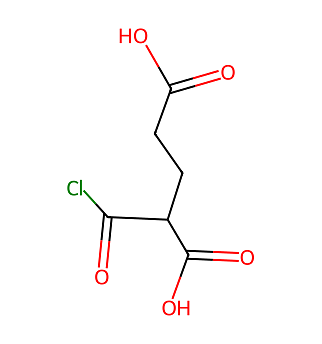 O=C(O)CCC(C(=O)O)C(=O)Cl